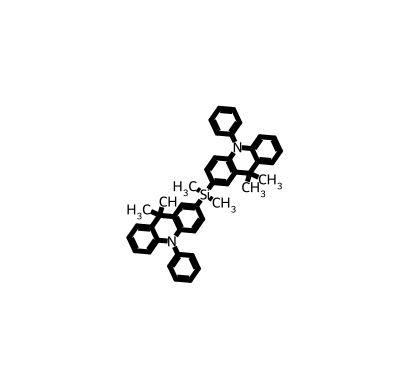 CC1(C)c2ccccc2N(c2ccccc2)c2ccc([Si](C)(C)c3ccc4c(c3)C(C)(C)c3ccccc3N4c3ccccc3)cc21